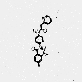 Cc1ccc(C(=O)Nc2ccc(NC(=O)Cc3ccccn3)cc2)c(N(C)C)c1